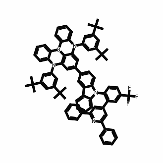 CC(C)(C)c1cc(N2c3ccccc3B3c4ccccc4N(c4cc(C(C)(C)C)cc(C(C)(C)C)c4)c4cc(-c5ccc6c(c5)c5ccccc5n6-c5ccc(C(F)(F)F)cc5-c5cc(-c6ccccc6)nc(-c6ccccc6)c5)cc2c43)cc(C(C)(C)C)c1